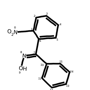 O=[N+]([O-])c1ccccc1C(=NO)c1ccccc1